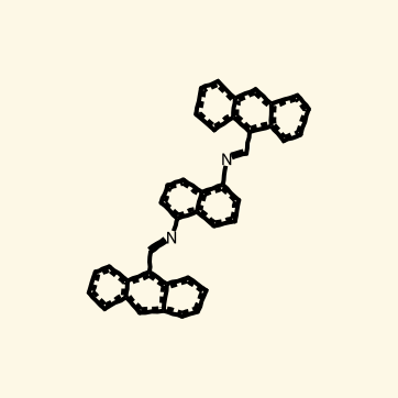 C(=Nc1cccc2c(N=Cc3c4ccccc4cc4ccccc34)cccc12)c1c2ccccc2cc2ccccc12